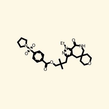 CCn1nc(CC(C)(C)COC(=O)c2ccc(S(=O)(=O)N3CCCC3)cc2)c2c1C(=O)NCC1(CCOCC1)C2